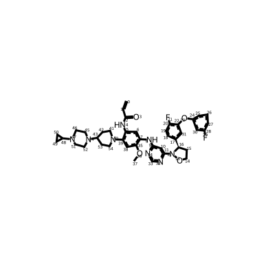 C=CC(=O)Nc1cc(Nc2cc(N3OCC[C@@H]3c3ccc(F)c(Oc4cccc(F)c4)c3)ncn2)c(OC)cc1N1CCC(N2CCN(C3CC3)CC2)CC1